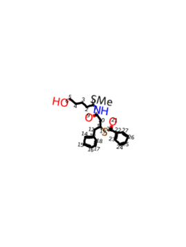 CSC(CCCCO)NC(=O)CC(Cc1ccccc1)SC(=O)c1ccccc1